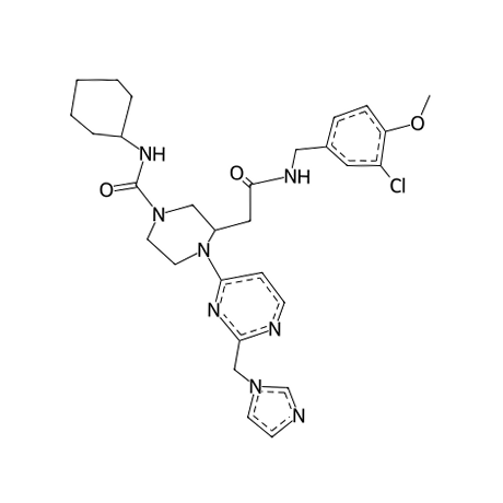 COc1ccc(CNC(=O)CC2CN(C(=O)NC3CCCCC3)CCN2c2ccnc(Cn3ccnc3)n2)cc1Cl